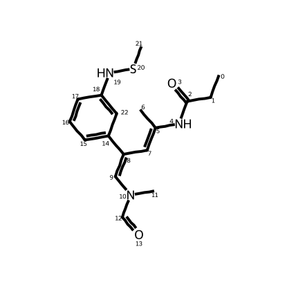 CCC(=O)N/C(C)=C/C(=C\N(C)C=O)c1cccc(NSC)c1